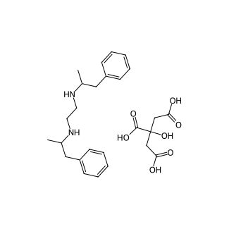 CC(Cc1ccccc1)NCCNC(C)Cc1ccccc1.O=C(O)CC(O)(CC(=O)O)C(=O)O